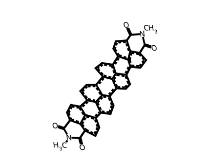 CN1C(=O)c2ccc3c4ccc5c6ccc7c8ccc9c%10c(ccc(c%11ccc(c%12ccc(c%13ccc(c2c3%13)C1=O)c4c5%12)c6c7%11)c%108)C(=O)N(C)C9=O